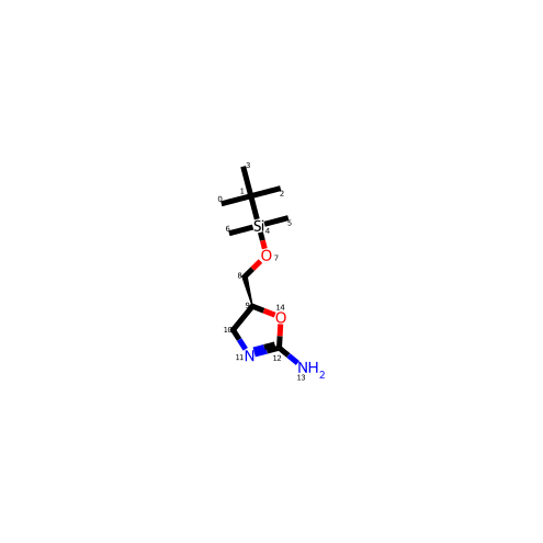 CC(C)(C)[Si](C)(C)OC[C@@H]1CN=C(N)O1